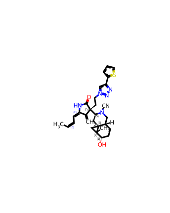 C=C1/C(=C\C=C/C)NC(=O)[C@]1(CCn1cc(-c2cccs2)nn1)[C@@H]1C[C@]23C[C@@]2(C)[C@@H](O)CC[C@H]3CN1C#N